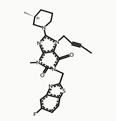 CC#CCn1c(N2CCC[C@@H](C)C2)nc2c1c(=O)n(Cc1nc3cc(F)ccc3s1)c(=O)n2C